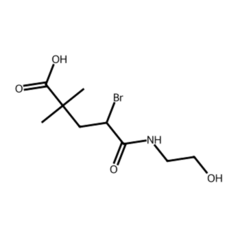 CC(C)(CC(Br)C(=O)NCCO)C(=O)O